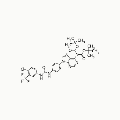 CC(C)(C)OC(=O)N(C(=O)OC(C)(C)C)c1ncnc2c1ncn2-c1ccc(NC(=O)Nc2ccc(Cl)c(C(F)(F)F)c2)cc1